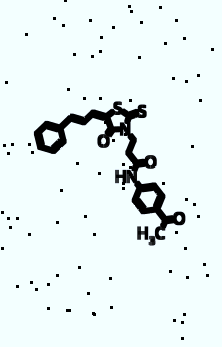 CC(=O)c1ccc(NC(=O)CCN2C(=O)/C(=C\C=C\c3ccccc3)SC2=S)cc1